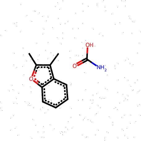 Cc1oc2ccccc2c1C.NC(=O)O